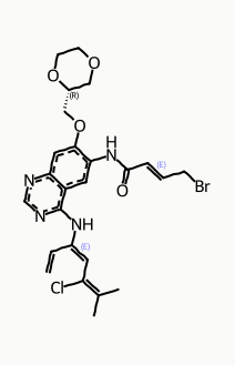 C=C/C(=C\C(Cl)=C(C)C)Nc1ncnc2cc(OC[C@H]3COCCO3)c(NC(=O)/C=C/CBr)cc12